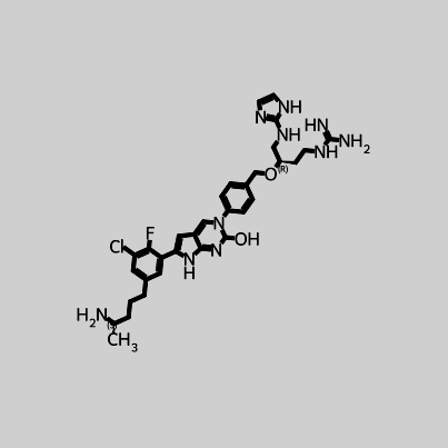 C[C@H](N)CCCc1cc(Cl)c(F)c(-c2cc3c([nH]2)=NC(O)N(c2ccc(CO[C@H](CCNC(=N)N)CNc4ncc[nH]4)cc2)C=3)c1